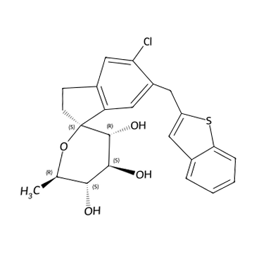 C[C@H]1O[C@]2(CCc3cc(Cl)c(Cc4cc5ccccc5s4)cc32)[C@H](O)[C@@H](O)[C@@H]1O